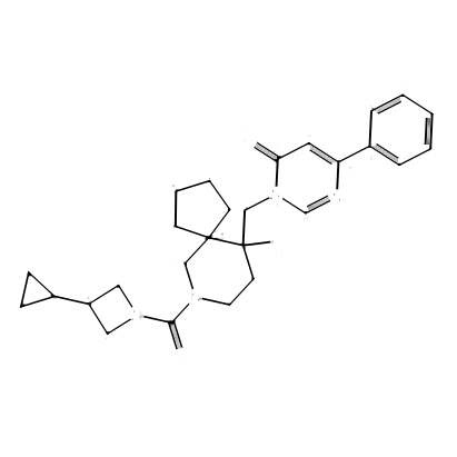 O=C(N1CC(C2CC2)C1)N1CCC(O)(Cn2cnc(-c3ccccc3)cc2=O)C2(CCCC2)C1